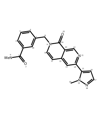 CNC(=O)c1cccc(Cn2ccc3cc(-c4ccnn4C)ncc3c2=O)c1